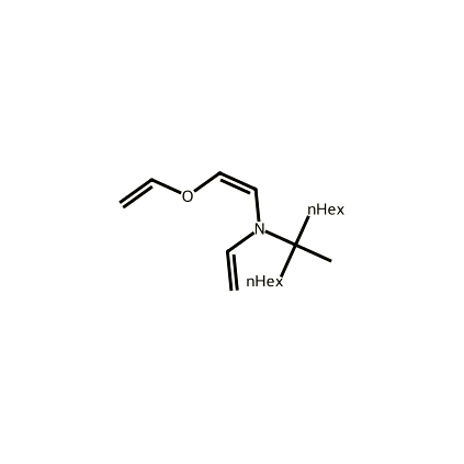 C=CO/C=C\N(C=C)C(C)(CCCCCC)CCCCCC